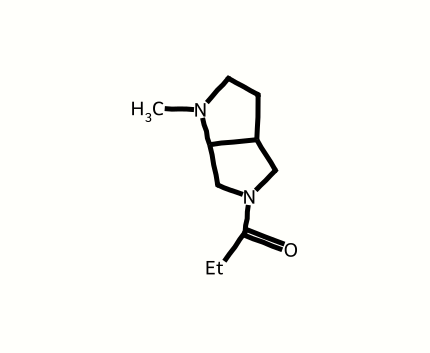 CCC(=O)N1CC2CCN(C)C2C1